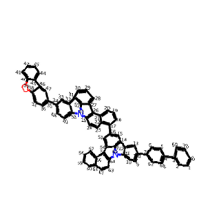 c1ccc(-c2ccc(-c3ccc4c(c3)c3cc(-c5cccc6c5ccc5c6c6cccc7c8cc(-c9ccc%10oc%11ccccc%11c%10c9)ccc8n5c76)cc5c6c7ccccc7ccc6n4c35)cc2)cc1